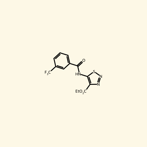 CCOC(=O)c1nnsc1NC(=O)c1cccc(C(F)(F)F)c1